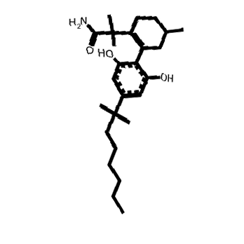 CCCCCCC(C)(C)c1cc(O)c(C2=C(C(C)(C)C(N)=O)CCC(C)C2)c(O)c1